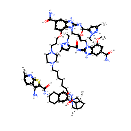 CCn1nc(C)cc1C(=O)/N=c1/[nH]c2cc(C(N)=O)cc(OC)c2n1C/C=C/Cn1/c(=N\C(O)c2cc(C)nn2CC)[nH]c2cc(C(N)=O)cc(OCCCN3CCN(CCCCCCCNC(=O)C4[C@@H]5CC[C@H]4CN(c4ccc6c(c4)CC[C@H](NC(=O)c4sc7nc(C)ccc7c4N)C6)C5)CC3)c21